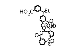 CCC(c1cccc(C(=O)O)c1)c1ccc(C(=O)O)c(C(=O)OC(=O)c2ccc3cc2C(=O)OC(=O)c2cccc(c2)S3(=O)=O)c1